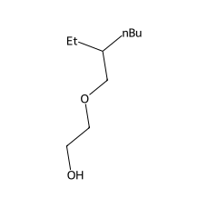 CCCCC(CC)COCCO